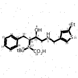 CCc1cc(CNC[C@H](O)[C@H](Cc2ccccc2)N(C(=O)O)C(C)(C)C)cs1